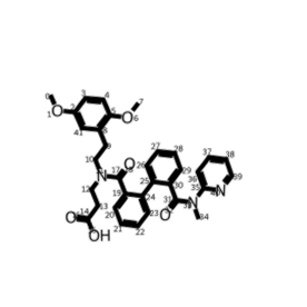 COc1ccc(OC)c(CCN(CCC(=O)O)C(=O)c2ccccc2-c2ccccc2C(=O)N(C)c2ccccn2)c1